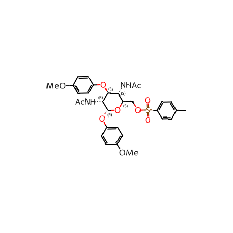 COc1ccc(O[C@H]2O[C@H](COS(=O)(=O)c3ccc(C)cc3)[C@@H](NC(C)=O)[C@H](Oc3ccc(OC)cc3)[C@H]2NC(C)=O)cc1